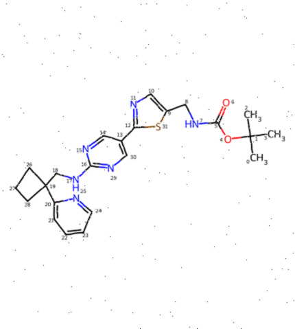 CC(C)(C)OC(=O)NCc1cnc(-c2cnc(NCC3(c4ccccn4)CCC3)nc2)s1